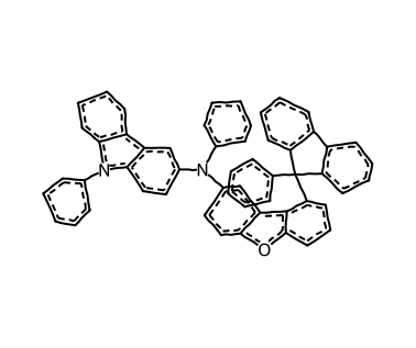 c1ccc(N(c2ccc3oc4cccc(C5(c6ccccc6)c6ccccc6-c6ccccc65)c4c3c2)c2ccc3c(c2)c2ccccc2n3-c2ccccc2)cc1